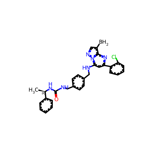 Bc1cnn2c(NCc3ccc(CNC(=O)N[C@H](C)c4ccccc4)cc3)cc(-c3ccccc3Cl)nc12